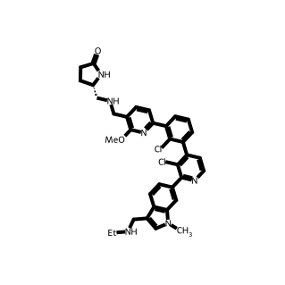 CCNCc1cn(C)c2cc(-c3nccc(-c4cccc(-c5ccc(CNC[C@@H]6CCC(=O)N6)c(OC)n5)c4Cl)c3Cl)ccc12